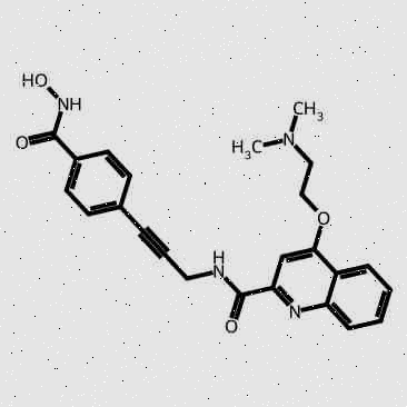 CN(C)CCOc1cc(C(=O)NCC#Cc2ccc(C(=O)NO)cc2)nc2ccccc12